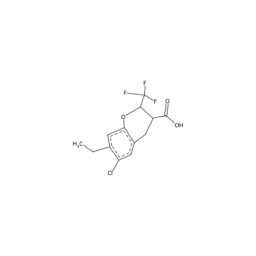 CCc1cc2c(cc1Cl)CC(C(=O)O)C(C(F)(F)F)O2